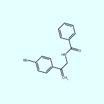 C=C(CNC(=O)c1ccccc1)c1ccc(C(C)(C)C)cc1